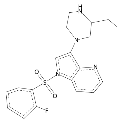 CCC1CN(c2cn(S(=O)(=O)c3ccccc3F)c3cccnc23)CCN1